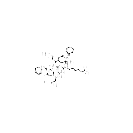 CCCC(Nc1nc(NCCCCCC(=O)O)nc(NC(CCC)C2CC(C)(C)N(OC3CCCCC3)C(C)(C)C2)n1)C1CC(C)(C)N(OC2CCCCC2)C(C)(C)C1